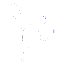 NC1CC(Nc2c(-c3ncco3)cnc3[nH]ccc23)C1